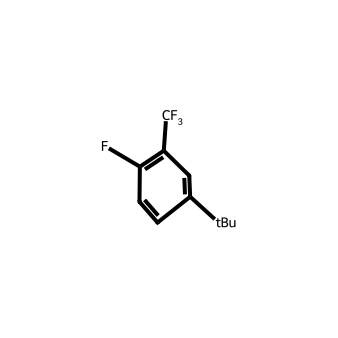 CC(C)(C)c1ccc(F)c(C(F)(F)F)c1